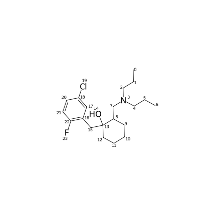 CCCN(CCC)CC1CCCCC1(O)Cc1cc(Cl)ccc1F